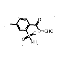 NS(=O)(=O)c1cc(I)ccc1C(=O)OC=O